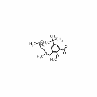 COc1c(CN(C)CCN(C)C)cc(C(C)(C)C)cc1[N+](=O)[O-]